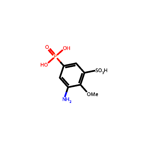 COc1c(N)cc(P(=O)(O)O)cc1S(=O)(=O)O